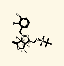 C=C1O[C@@H](C)[C@@H]2[C@H](CO[Si](C)(C)C(C)(C)C)ON(Cc3cccc(Br)c3F)[C@H]12